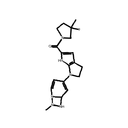 CN1NC2C=C(N3CCc4cc(C(=O)N5CCC(C)(F)C5)[nH]c43)C=CN21